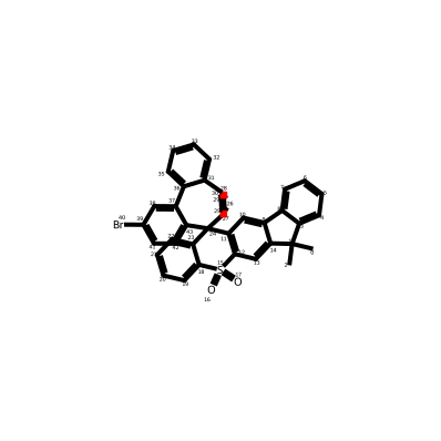 CC1(C)c2ccccc2-c2cc3c(cc21)S(=O)(=O)c1ccccc1C31c2ccccc2-c2ccccc2-c2cc(Br)ccc21